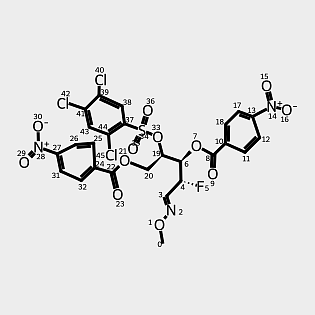 CO/N=C/[C@@H](F)[C@H](OC(=O)c1ccc([N+](=O)[O-])cc1)[C@@H](COC(=O)c1ccc([N+](=O)[O-])cc1)OS(=O)(=O)c1cc(Cl)c(Cl)cc1Cl